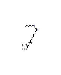 CCCCC/C=C\C/C=C\CCCCCCCC(=O)OC[C@H](O)CO